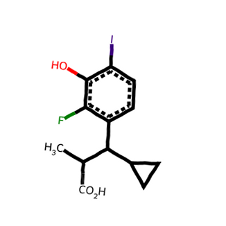 CC(C(=O)O)C(c1ccc(I)c(O)c1F)C1CC1